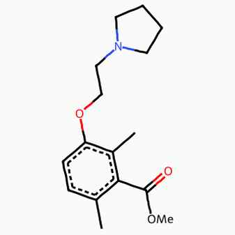 COC(=O)c1c(C)ccc(OCCN2CCCC2)c1C